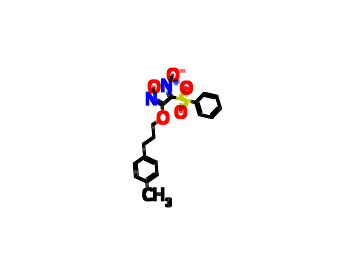 Cc1ccc(CCCOc2no[n+]([O-])c2S(=O)(=O)c2ccccc2)cc1